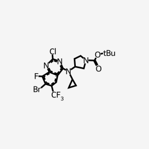 CC(C)(C)OC(=O)N1CCC(N(c2nc(Cl)nc3c(F)c(Br)c(C(F)(F)F)cc23)C2CC2)C1